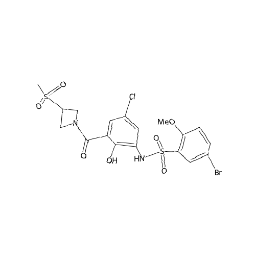 COc1ccc(Br)cc1S(=O)(=O)Nc1cc(Cl)cc(C(=O)N2CC(S(C)(=O)=O)C2)c1O